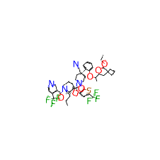 CCC[C@H]1N(C(=O)c2cnccc2C(F)(F)F)CCC[C@]1(Oc1csc(C(F)(F)F)c1)C(=O)N1CCC(C#N)(c2ccccc2OC(C)CCC2(C(=O)OCC)CCC2)CC1